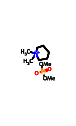 COP(=O)([O-])OC.C[N+]1(C)CCCCC1